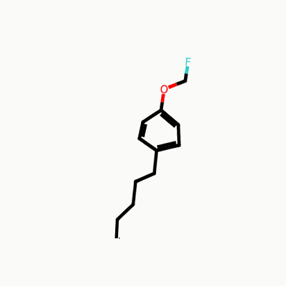 [CH2]CCCCc1ccc(OCF)cc1